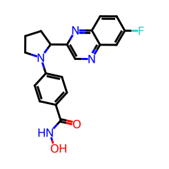 O=C(NO)c1ccc(N2CCCC2c2cnc3cc(F)ccc3n2)cc1